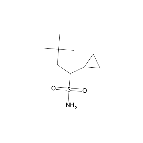 CC(C)(C)CC(C1CC1)S(N)(=O)=O